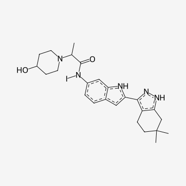 CC(C(=O)N(I)c1ccc2cc(-c3n[nH]c4c3CCC(C)(C)C4)[nH]c2c1)N1CCC(O)CC1